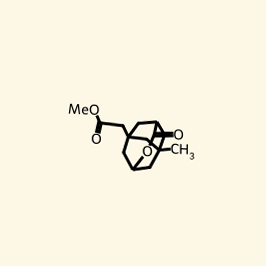 COC(=O)CC12CC3CC(C)(CC(C1)C(=O)O3)C2